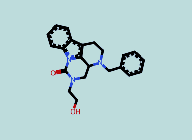 O=C1N(CCO)CC2c3c(c4ccccc4n31)CCN2Cc1ccccc1